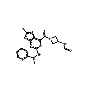 Cc1nc2nc(N[C@@H](C)c3ccccn3)nc(C(=O)N3CC(NC=O)C3)c2s1